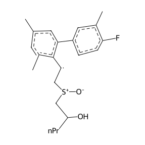 C[CH]CC(O)C[S+]([O-])C[CH]c1c(C)cc(C)cc1-c1ccc(F)c(C)c1